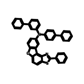 c1ccc(-c2ccc(N(c3cccc(-c4ccccc4)c3)c3ccc4oc5ccc6sc(-c7ccccc7)nc6c5c4c3)cc2)cc1